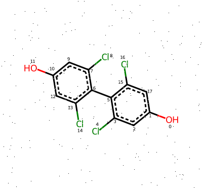 Oc1cc(Cl)c(-c2c(Cl)cc(O)cc2Cl)c(Cl)c1